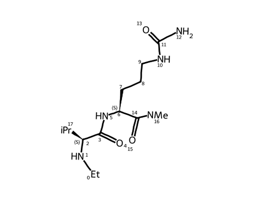 CCN[C@H](C(=O)N[C@@H](CCCNC(N)=O)C(=O)NC)C(C)C